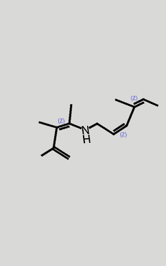 C=C(C)/C(C)=C(/C)NC/C=C\C(C)=C/C